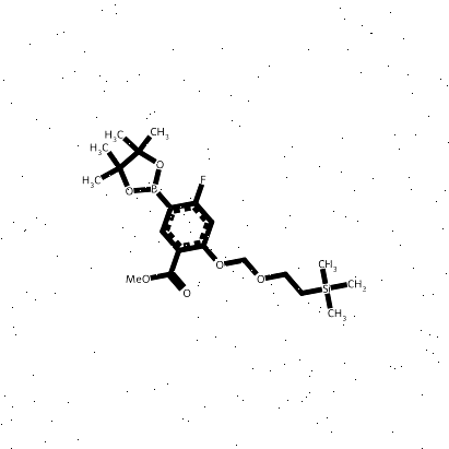 COC(=O)c1cc(B2OC(C)(C)C(C)(C)O2)c(F)cc1OCOCC[Si](C)(C)C